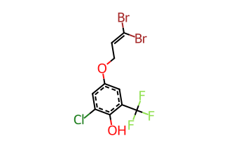 Oc1c(Cl)cc(OCC=C(Br)Br)cc1C(F)(F)F